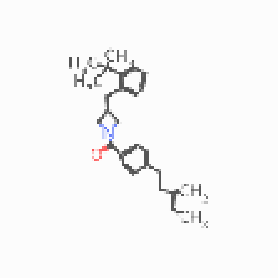 C=C(CC)CCc1ccc(C(=O)N2CC(Cc3ccccc3C(C)(C)C)C2)cc1